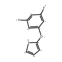 Fc1cc(F)cc(Oc2cc[c]s2)c1